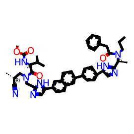 CCCN(C(=O)Cc1ccccc1)[C@@H](C)c1ncc(-c2ccc(-c3ccc4cc(-c5cnc(CN(C[C@@H](C)C#N)C(=O)[C@@H](NC(=O)OC)C(C)C)[nH]5)ccc4c3)cc2)[nH]1